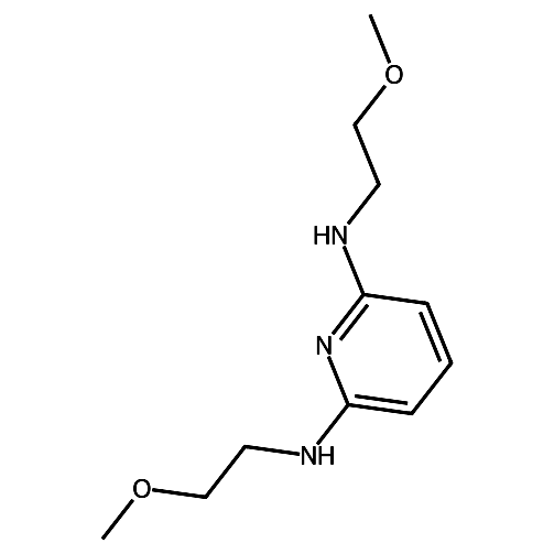 COCCNc1cccc(NCCOC)n1